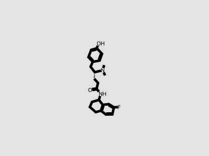 CN(C)[C@H](CCC(=O)NC1CCCc2ccc(F)cc21)Cc1ccc(O)cc1